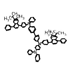 CC1=CC2c3c(-c4ccccc4)ccc(-c4ccc(N(c5ccccc5)c5ccc(-c6ccc(N(c7ccc(-c8ccc(-c9ccccc9)c9c8C8CC(C(C)C)C9C=C8C)cc7)c7ccc(N(c8ccccc8)c8ccccc8)cc7)cc6)cc5)cc4)c3C1CC2C(C)C